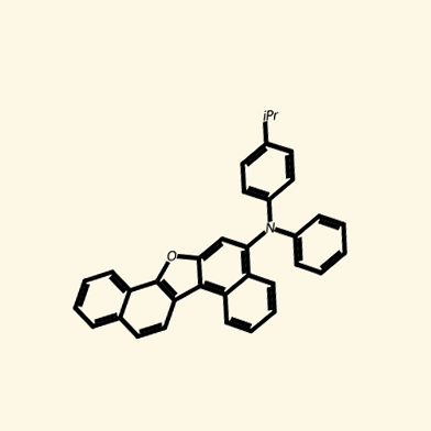 CC(C)c1ccc(N(c2ccccc2)c2cc3oc4c5ccccc5ccc4c3c3ccccc23)cc1